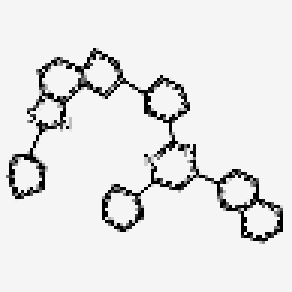 c1ccc(-c2cc(-c3ccc4ccccc4c3)nc(-c3cccc(-c4ccc5ccc6sc(-c7ccccc7)nc6c5c4)c3)n2)cc1